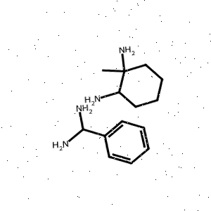 CC1(N)CCCCC1N.NC(N)c1ccccc1